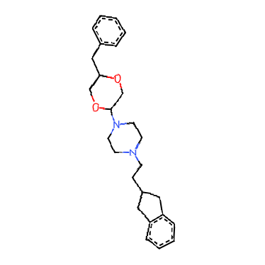 c1ccc(CC2COC(N3CCN(CCC4Cc5ccccc5C4)CC3)CO2)cc1